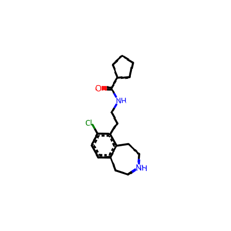 O=C(NCCc1c(Cl)ccc2c1CCNCC2)C1CCCC1